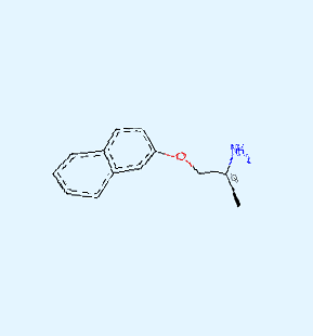 C[C@H](N)COc1ccc2ccccc2c1